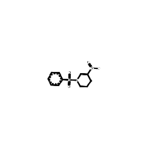 O=[N+]([O-])C1[CH]CCN(S(=O)(=O)c2ccccc2)C1